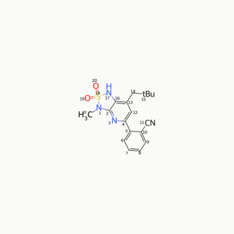 CN1c2nc(-c3ccccc3C#N)cc(CC(C)(C)C)c2NS1(=O)=O